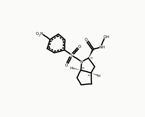 O=C(NO)[C@H]1C[C@H]2CCC[C@H]2N1S(=O)(=O)c1ccc([N+](=O)[O-])cc1